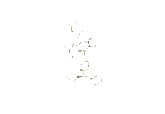 CC1(C)c2ccccc2-c2c3ccccc3c(-c3ccc4c(c3)c3ccccc3n4-c3ccccc3)c3cccc1c23